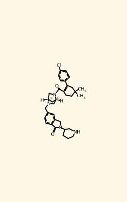 CC1(C)CCC(C(=O)N2C[C@@H]3C[C@H]2CN3Cc2ccc3c(c2)CN(C2CCCNC2)C3=O)=C(c2ccc(Cl)cc2)C1